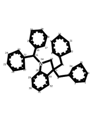 c1ccc(CC2(Cc3ccccc3)CN(C(c3ccccc3)c3ccccc3)c3ccccc32)cc1